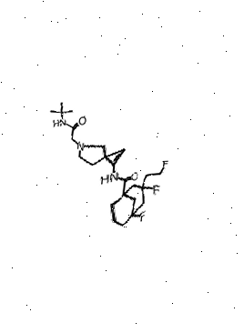 CC(C)(C)NC(=O)CN1CCC2(C=C2NC(=O)C23CCCC(F)(CC(F)(CCF)C2)C3)CC1